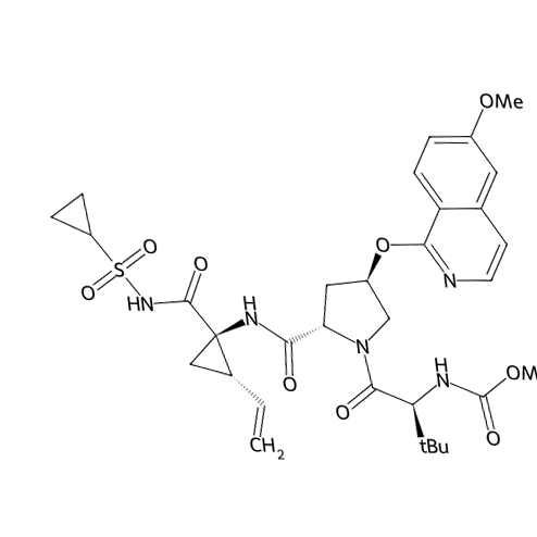 C=C[C@@H]1C[C@]1(NC(=O)[C@@H]1C[C@@H](Oc2nccc3cc(OC)ccc23)CN1C(=O)[C@@H](NC(=O)OC)C(C)(C)C)C(=O)NS(=O)(=O)C1CC1